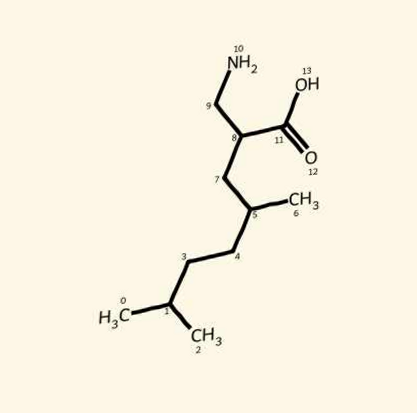 CC(C)CCC(C)CC(CN)C(=O)O